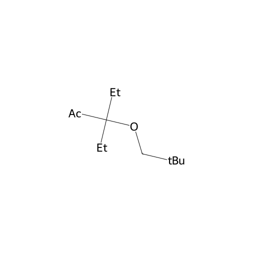 CCC(CC)(OCC(C)(C)C)C(C)=O